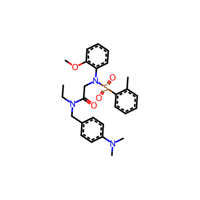 CCN(Cc1ccc(N(C)C)cc1)C(=O)CN(c1ccccc1OC)S(=O)(=O)c1ccccc1C